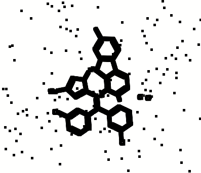 CCCC1C=C(C(C)(C)C)C=[C]1[Zr+2](=[C](c1cccc(Cl)c1)c1cccc(Cl)c1)[c]1c(C)ccc2c1Cc1cc(C)ccc1-2.[Cl-].[Cl-]